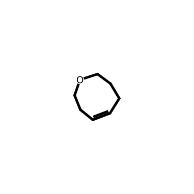 C1=C\CCOCCC/1